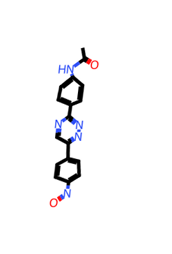 CC(=O)Nc1ccc(-c2ncc(-c3ccc(N=O)cc3)nn2)cc1